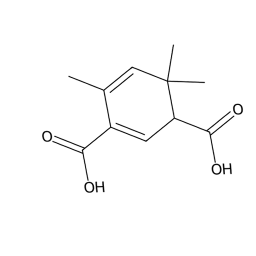 CC1=CC(C)(C)C(C(=O)O)C=C1C(=O)O